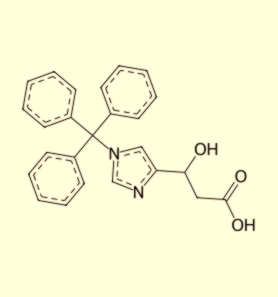 O=C(O)CC(O)c1cn(C(c2ccccc2)(c2ccccc2)c2ccccc2)cn1